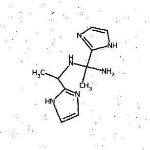 CC(NC(C)(N)c1ncc[nH]1)c1ncc[nH]1